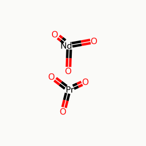 [O]=[Nd](=[O])=[O].[O]=[Pr](=[O])=[O]